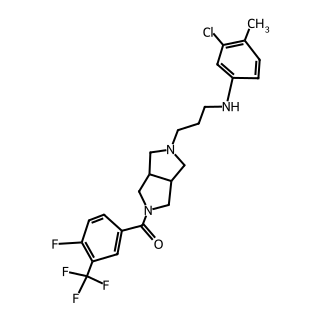 Cc1ccc(NCCCN2CC3CN(C(=O)c4ccc(F)c(C(F)(F)F)c4)CC3C2)cc1Cl